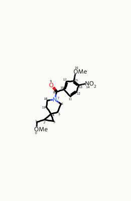 COCC1CC12CCN(C(=O)c1ccc([N+](=O)[O-])c(OC)c1)CC2